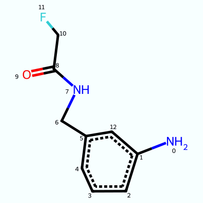 Nc1cccc(CNC(=O)CF)c1